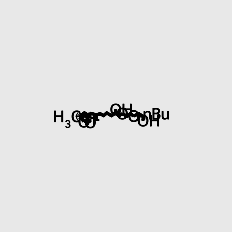 CCCCC(O)COCCOCC(O)CCCCC([18F])CC1=C[C@H](C)OC1=O